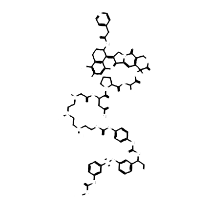 CCCNC(=O)Nc1cccc(S(=O)(=O)Nc2cccc(C(CC(=O)O)NC(=O)Nc3ccc(NC(=O)NCCN(C)CCN(C)CCN(C)CC(=O)NC(CC(N)=O)C(=O)N4CCCC4C(=O)NC(C(=O)OC4(CC)C(=O)OCc5c4cc4n(c5=O)Cc5c-4nc4cc(F)c(C)c6c4c5C(NC(=O)Cc4ccncc4)CC6)C(C)C)cc3)c2)c1